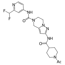 CC(=O)N1CCC(C(=O)Nc2cc3n(n2)CCN(C(=O)Nc2ccnc(C(F)F)c2)C3)CC1